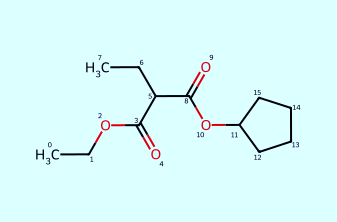 CCOC(=O)C(CC)C(=O)OC1CCCC1